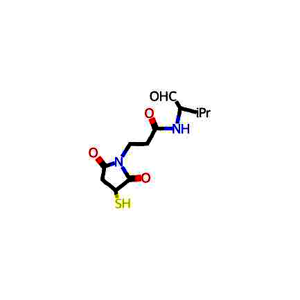 CC(C)C(C=O)NC(=O)CCN1C(=O)CC(S)C1=O